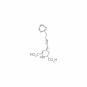 O=C(O)C1=C/C(=C\C=N\CCc2ccccc2)CC(C(=O)O)N1